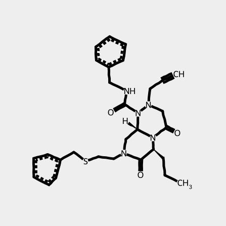 C#CCN1CC(=O)N2[C@@H](CCC)C(=O)N(CCSCc3ccccc3)C[C@@H]2N1C(=O)NCc1ccccc1